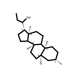 CCC(O)[C@H]1CCC2[C@@H]3CC[C@@H]4C[C@@H](C)CC[C@@H]4C3CC[C@@]21C